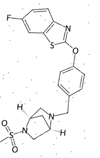 CS(=O)(=O)N1C[C@H]2C[C@@H]1CN2Cc1ccc(Oc2nc3ccc(F)cc3s2)cc1